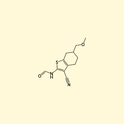 COCC1CCc2c(sc(NC=O)c2C#N)C1